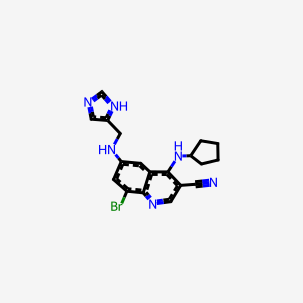 N#Cc1cnc2c(Br)cc(NCc3cnc[nH]3)cc2c1NC1CCCC1